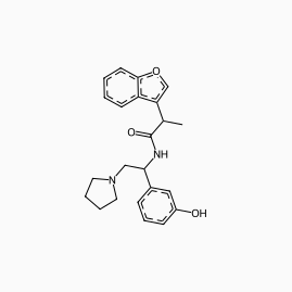 CC(C(=O)NC(CN1CCCC1)c1cccc(O)c1)c1coc2ccccc12